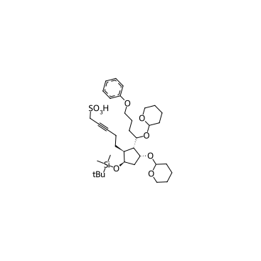 CC(C)(C)[Si](C)(C)O[C@@H]1C[C@@H](OC2CCCCO2)[C@@H](C(CCCOc2ccccc2)OC2CCCCO2)[C@@H]1CCC#CCS(=O)(=O)O